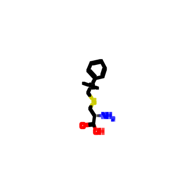 C[Si](C)(CSC[C@H](N)C(=O)O)c1ccccc1